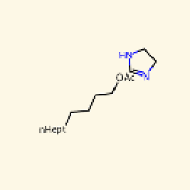 C1=NCCN1.CCCCCCCCCCCOC(C)=O